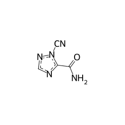 N#Cn1ncnc1C(N)=O